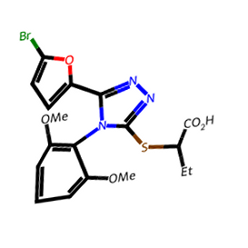 CCC(Sc1nnc(-c2ccc(Br)o2)n1-c1c(OC)cccc1OC)C(=O)O